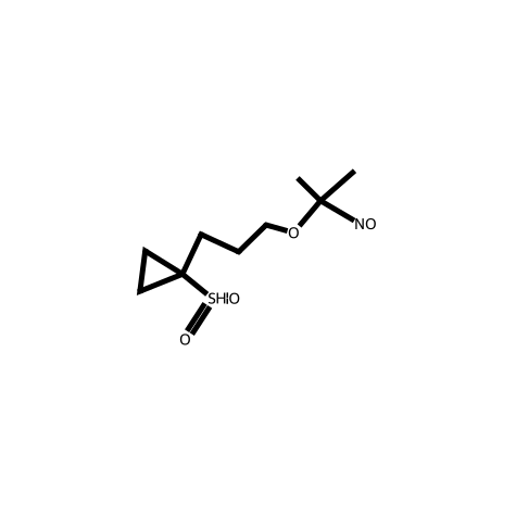 CC(C)(N=O)OCCCC1([SH](=O)=O)CC1